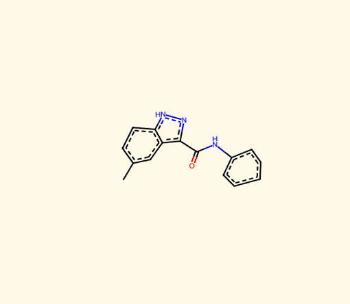 Cc1ccc2[nH]nc(C(=O)Nc3ccccc3)c2c1